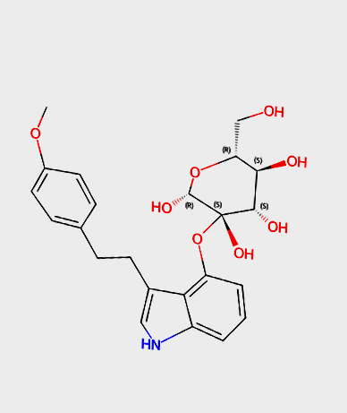 COc1ccc(CCc2c[nH]c3cccc(O[C@]4(O)[C@H](O)O[C@H](CO)[C@@H](O)[C@@H]4O)c23)cc1